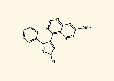 CCn1cc(-c2ncnc3cc(OC)cnc23)c(-c2ccccc2)n1